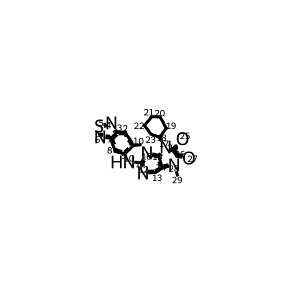 Cc1cc2nsnc2cc1Nc1ncc2c(n1)n(C1CCCCC1)c(=O)c(=O)n2C